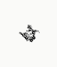 COc1nc(OCc2cccc(-c3cccc(COc4nc(OC)c(CN(CCCC(N)=O)CC(=O)O)cc4Br)c3C)c2C)c(Br)cc1CN(CCCC=O)CC(=O)O